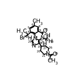 [2H]C(C)(Br)c1cc(C)cc2c(=O)n(C([2H])([2H])[2H])c3c(C4CCN(C(C)=O)CC4)ncn3c12